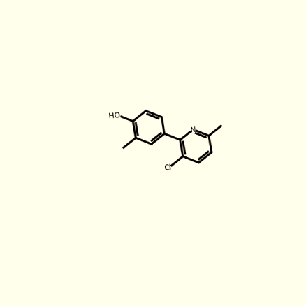 Cc1ccc(Cl)c(-c2ccc(O)c(C)c2)n1